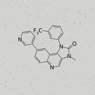 Cn1c(=O)n(-c2cccc(C(F)(F)F)c2)c2c3cc(-c4cccnc4)ccc3ncc21